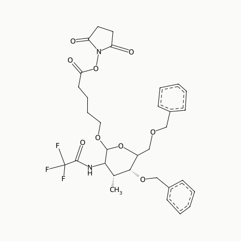 C[C@@H]1C(NC(=O)C(F)(F)F)C(OCCCCC(=O)ON2C(=O)CCC2=O)OC(COCc2ccccc2)[C@@H]1OCc1ccccc1